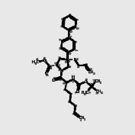 C=CCCCC[C@H](NC(=O)OC(C)(C)C)C(=O)N1C[C@](SCC=C)(c2ccc(-c3ccccc3)cc2)C[C@H]1C(=O)OC